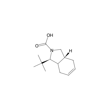 CC(C)(C)[C@@H]1C2CC=CC[C@H]2CN1C(=O)O